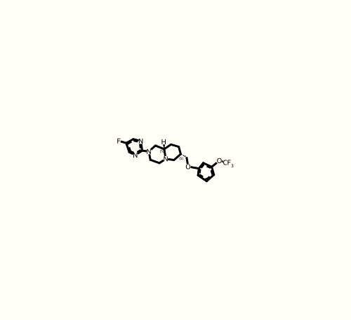 Fc1cnc(N2CCN3C[C@@H](COc4cccc(OC(F)(F)F)c4)CC[C@H]3C2)nc1